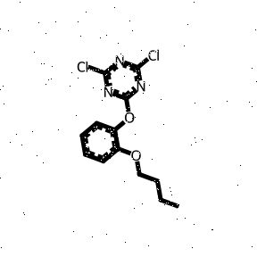 CCCCOc1ccccc1Oc1nc(Cl)nc(Cl)n1